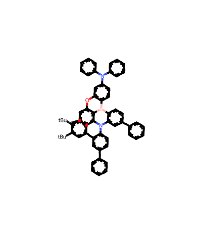 Cc1cc2c3c(c1)N(c1ccc(-c4ccccc4)cc1-c1ccc(C(C)(C)C)c(C(C)(C)C)c1)c1cc(-c4ccccc4)ccc1B3c1ccc(N(c3ccccc3)c3ccccc3)cc1O2